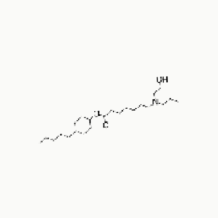 CCCCCC1CCC(OC(=O)CCCCCCN(CCC)CCO)CC1